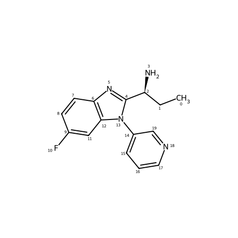 CC[C@H](N)c1nc2ccc(F)cc2n1-c1cccnc1